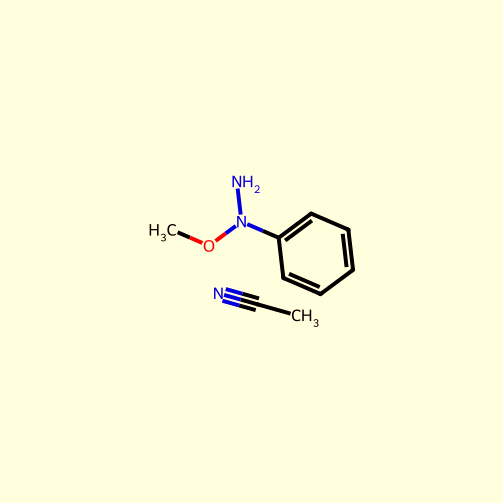 CC#N.CON(N)c1ccccc1